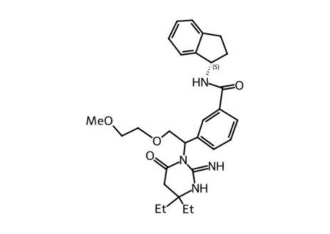 CCC1(CC)CC(=O)N(C(COCCOC)c2cccc(C(=O)N[C@H]3CCc4ccccc43)c2)C(=N)N1